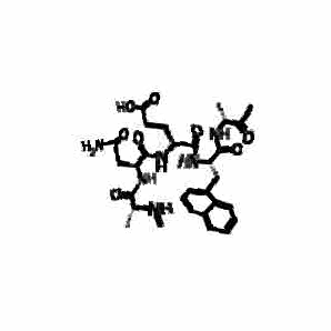 CN[C@H](C)C(=O)N[C@@H](CC(N)=O)C(=O)N[C@@H](CCC(=O)O)C(=O)N[C@@H](Cc1cccc2ccccc12)C(=O)N[C@H](C)C(C)=O